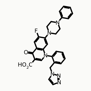 O=C(O)c1cn(-c2ccccc2Cn2ccnn2)c2cc(N3CCN(c4ccccc4)CC3)c(F)cc2c1=O